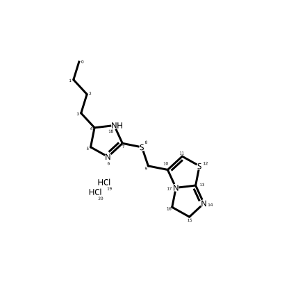 CCCCC1CN=C(SCC2=CSC3=NCCN23)N1.Cl.Cl